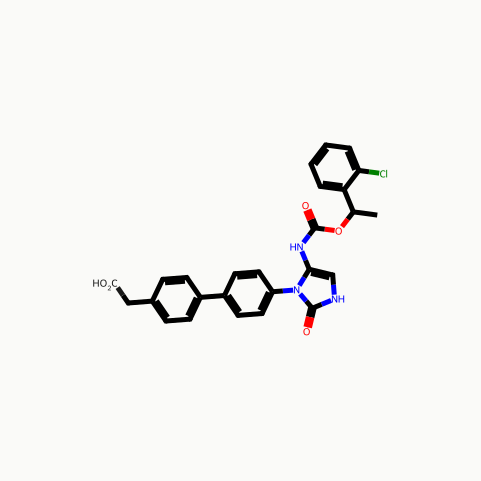 CC(OC(=O)Nc1c[nH]c(=O)n1-c1ccc(-c2ccc(CC(=O)O)cc2)cc1)c1ccccc1Cl